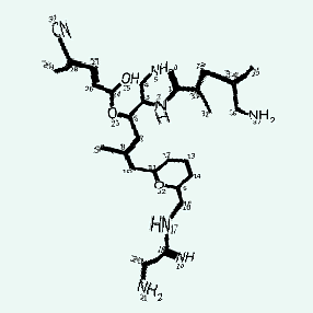 C=C(NC(CN)C(CC(C)CC1CCCC(CNC(=N)CN)O1)OC(O)/C=C/C(C)C#N)C(C)CC(C)CN